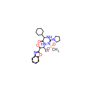 CCC(NC(=O)C(N/C(=N/S(C)(=O)=O)N1CCCC1)C1CCCCC1)C(=O)c1nc2ccccc2o1